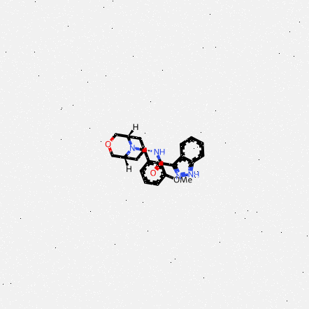 COc1cccc(CN2[C@@H]3COC[C@H]2C[C@@H](NC(=O)c2n[nH]c4ccccc24)C3)c1